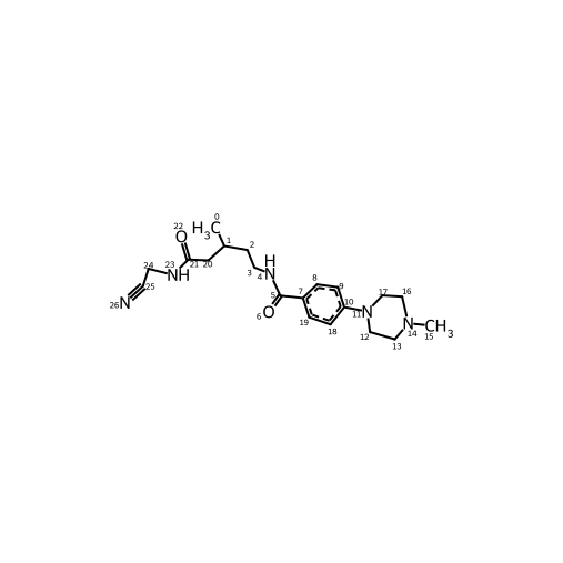 CC(CCNC(=O)c1ccc(N2CCN(C)CC2)cc1)CC(=O)NCC#N